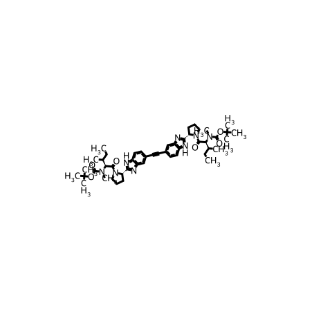 CCC(C)[C@@H](C(=O)N1CCC[C@H]1c1nc2cc(C#Cc3ccc4[nH]c([C@@H]5CCCN5C(=O)[C@H](C(C)CC)N(C)C(=O)OC(C)(C)C)nc4c3)ccc2[nH]1)N(C)C(=O)OC(C)(C)C